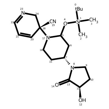 CC(C)(C)[Si](C)(C)OC1C[C@H](N2CC[C@@H](O)C2=O)CCN1[C@]1(C#N)C=CC=NC1